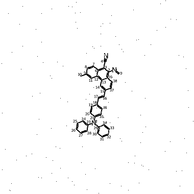 C=Nc1c(C#N)c2ccc(C)cc2c2cc(C=Cc3ccc(N(c4ccccc4)c4ccccc4)cc3)ccc12